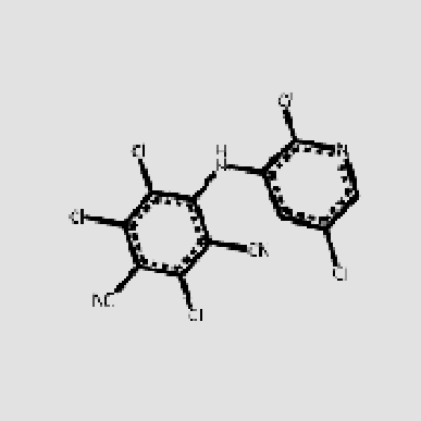 N#Cc1c(Cl)c(Cl)c(Nc2cc(Cl)cnc2Cl)c(C#N)c1Cl